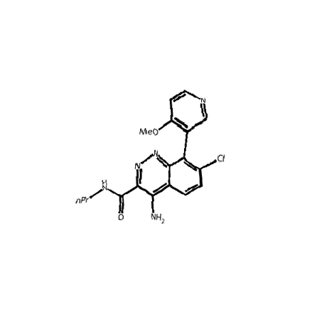 CCCNC(=O)c1nnc2c(-c3cnccc3OC)c(Cl)ccc2c1N